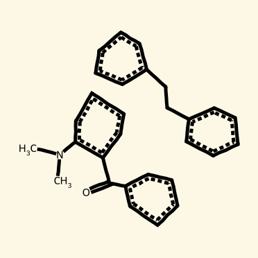 CN(C)c1ccccc1C(=O)c1ccccc1.c1ccc(CCc2ccccc2)cc1